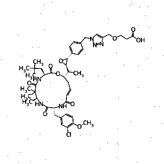 COc1ccc(C[C@H]2NC(=O)/C=C/C[C@@H](C(C)[C@H]3O[C@@H]3c3ccc(Cn4cc(COCCC(=O)O)nn4)cc3)OC(=O)[C@H](CC(C)(C)C)NC(=O)C(C)(C)[C@H](C)NC2=O)cc1Cl